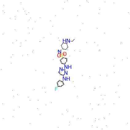 CCN[C@H]1CC[C@H](N(C)S(=O)(=O)c2ccc(Nc3nccc(Nc4ccc(F)cc4)n3)cc2)CC1